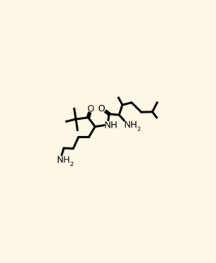 CC(C)CCC(C)C(N)C(=O)NC(CCCCN)C(=O)C(C)(C)C